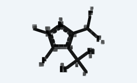 CCC(C)(CC)c1c(C(F)F)nn(C)c1F